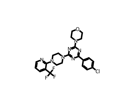 FC(F)(F)c1cccnc1N1CCN(c2nc(-c3ccc(Cl)cc3)nc(N3CCOCC3)n2)CC1